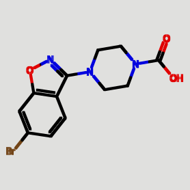 O=C(O)N1CCN(c2noc3cc(Br)ccc23)CC1